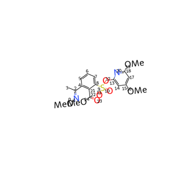 CON=C(C)c1cccc(S(=O)(=O)Oc2cc(OC)cc(OC)n2)c1C(=O)OC